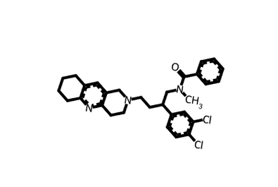 CN(CC(CCN1CCc2nc3c(cc2C1)CCCC3)c1ccc(Cl)c(Cl)c1)C(=O)c1ccccc1